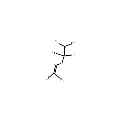 FC(F)=COC(F)(F)C(F)C(F)(F)F